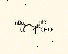 CCCCC(CC)CNN([C]=O)CCC